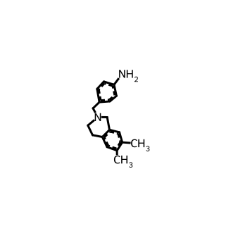 Cc1cc2c(cc1C)CN(Cc1ccc(N)cc1)CC2